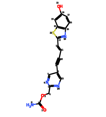 NC(=O)OCc1ncc(C#C/C=C/c2nc3ccc(O)cc3s2)cn1